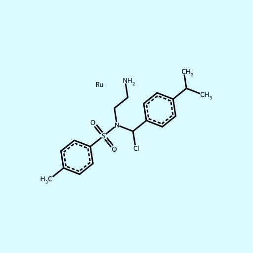 Cc1ccc(S(=O)(=O)N(CCN)C(Cl)c2ccc(C(C)C)cc2)cc1.[Ru]